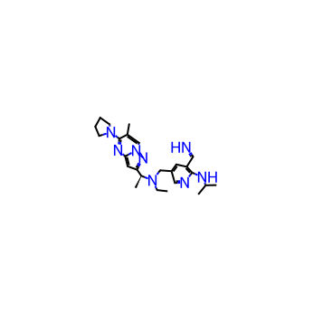 CCN(Cc1cnc(NC(C)C)c(C=N)c1)[C@@H](C)c1cc2nc(N3CCCC3)c(C)cn2n1